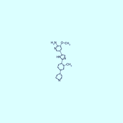 COc1cc(-c2cnc(-c3ccc(-c4ccncc4)cc3C)[nH]2)cnc1N